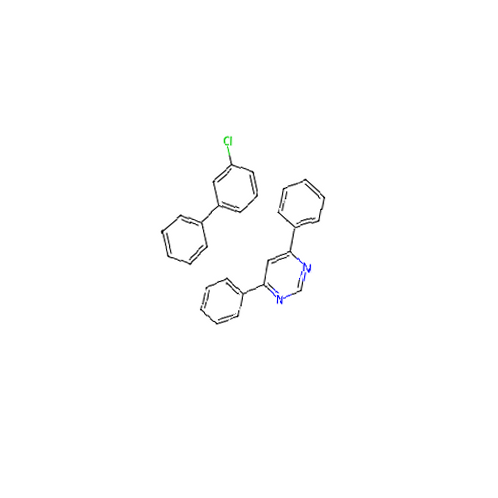 Clc1cccc(-c2ccccc2)c1.c1ccc(-c2cc(-c3ccccc3)ncn2)cc1